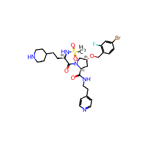 CS(=O)(=O)N[C@H](CCC1CCNCC1)C(=O)N1C[C@H](OCc2ccc(Br)cc2F)C[C@H]1C(=O)NCCc1ccncc1